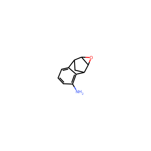 Nc1cccc2c1C1CC2C2OC12